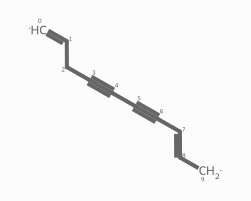 [CH]=CCC#CC#CC=C[CH2]